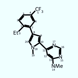 CCc1ccc(C(F)(F)F)cc1-c1cc(-c2cc(NC)ncn2)n(C)c1